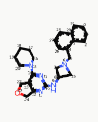 c1ccc2c(CN3CC(Nc4nc5c(c(N6CCCCC6)n4)COC5)C3)cccc2c1